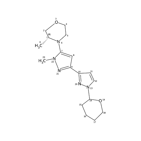 C[C@@H]1COCCN1c1cc(-c2ccn(C3CCCCO3)n2)nn1C